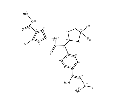 Cc1nc(NC(=O)C(c2ccc(/C(N)=N/N(C)N)cc2)C2CCC(F)(F)C2)sc1C(=O)OC(C)(C)C